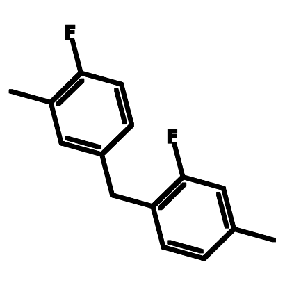 Cc1ccc(Cc2ccc(F)c(C)c2)c(F)c1